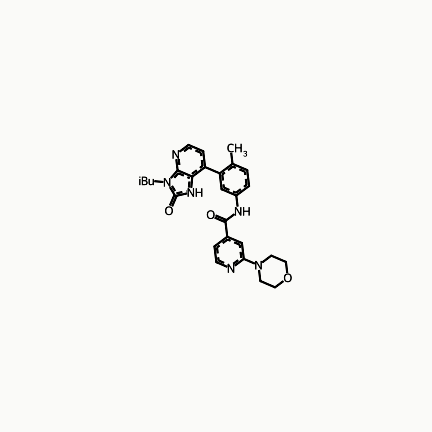 CCC(C)n1c(=O)[nH]c2c(-c3cc(NC(=O)c4ccnc(N5CCOCC5)c4)ccc3C)ccnc21